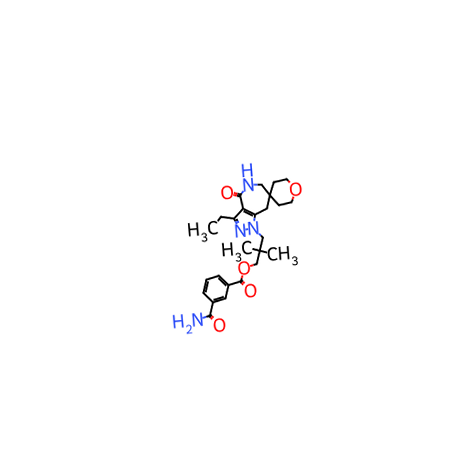 CCc1nn(CC(C)(C)COC(=O)c2cccc(C(N)=O)c2)c2c1C(=O)NCC1(CCOCC1)C2